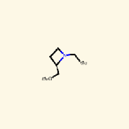 COC[C@H]1CCN1CC(C)(C)C